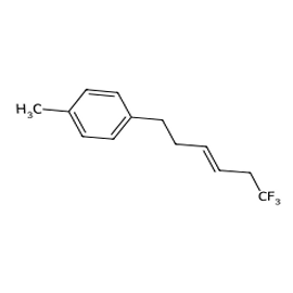 Cc1ccc(CCC=CCC(F)(F)F)cc1